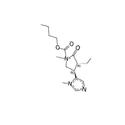 CCCCOC(=O)[N+]1(C)C[C@H](c2cncn2C)[C@@H](CC)C1=O